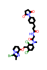 Cc1nc2c(OCc3c(Cl)ccc(N(C)C(=O)CNC(=O)/C=C/c4ccc(N5C(=O)CCC5=O)cc4)c3Cl)cccn2c1Br